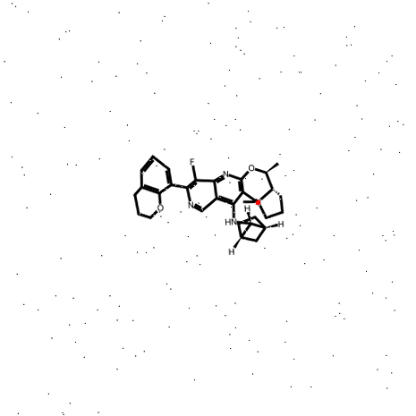 C[C@H](Oc1nc2c(F)c(-c3cccc4c3OCCC4)ncc2c(N[C@@H]2[C@@H]3CC[C@H]2C3)c1I)[C@@H]1CCCN1C